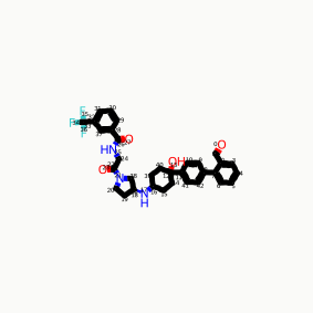 O=Cc1ccccc1-c1ccc(C2(O)CCC(N[C@H]3CCN(C(=O)CNC(=O)c4cccc(C(F)(F)F)c4)C3)CC2)cc1